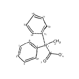 C[N+](C(=O)[O-])(c1ccccc1)c1ccccc1